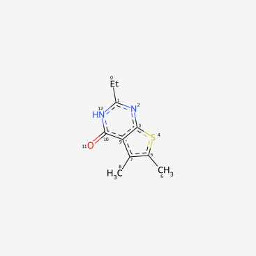 CCc1nc2sc(C)c(C)c2c(=O)[nH]1